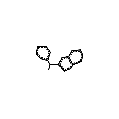 IC(c1ccccc1)c1ccc2ccccc2c1